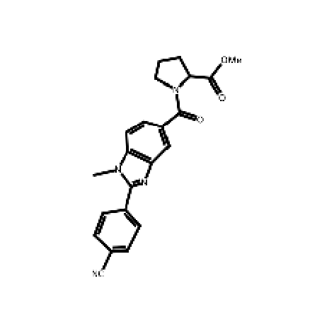 COC(=O)C1CCCN1C(=O)c1ccc2c(c1)nc(-c1ccc(C#N)cc1)n2C